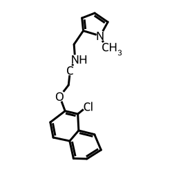 Cn1cccc1CNCCOc1ccc2ccccc2c1Cl